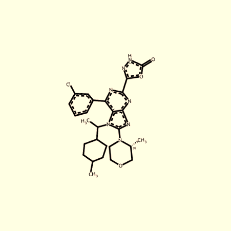 CC1CCC(C(C)n2c(N3CCOC[C@H]3C)nc3nc(-c4n[nH]c(=O)o4)nc(-c4cccc(Cl)c4)c32)CC1